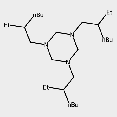 CCCCC(CC)CN1CN(CC(CC)CCCC)CN(CC(CC)CCCC)C1